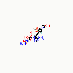 CCS(=O)(=O)c1cc(N2CC[C@@H](O)C2)cc(F)c1C#Cc1cn([C@@H]2O[C@H](CNS(N)(=O)=O)[C@@H](O)[C@H]2O)c2ncnc(N)c12